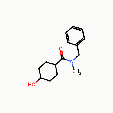 CN(Cc1ccccc1)C(=O)C1CCC(O)CC1